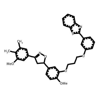 COc1ccc(C2CC(c3cc(C)c(C)c(OC)c3)=NO2)cc1OCCCOc1cccc(-c2nc3ccccc3s2)c1